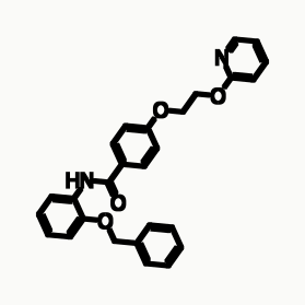 O=C(Nc1ccccc1OCc1ccccc1)c1ccc(OCCOc2ccccn2)cc1